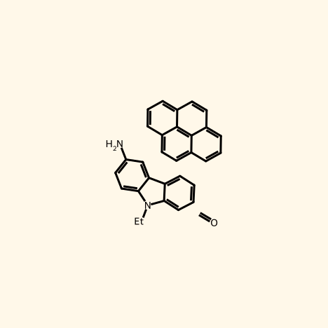 C=O.CCn1c2ccccc2c2cc(N)ccc21.c1cc2ccc3cccc4ccc(c1)c2c34